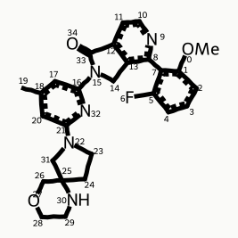 COc1cccc(F)c1-c1nccc2c1CN(c1cc(C)cc(N3CCC4(COCCN4)C3)n1)C2=O